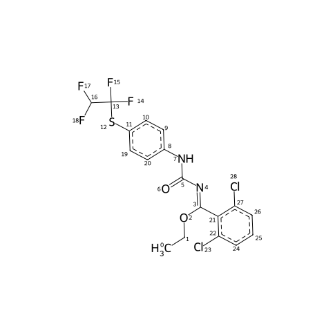 CCOC(=NC(=O)Nc1ccc(SC(F)(F)C(F)F)cc1)c1c(Cl)cccc1Cl